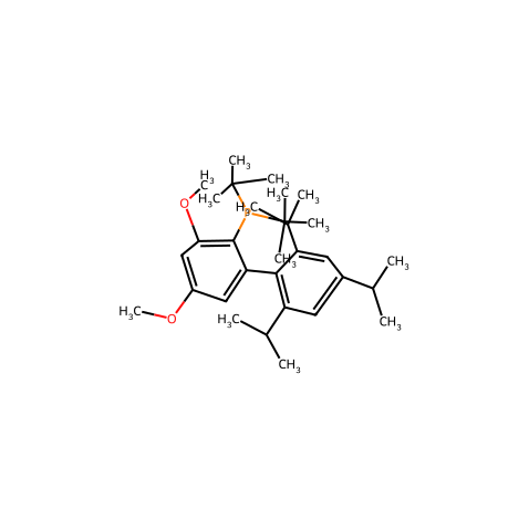 COc1cc(OC)c(P(C(C)(C)C)C(C)(C)C)c(-c2c(C(C)C)cc(C(C)C)cc2C(C)C)c1